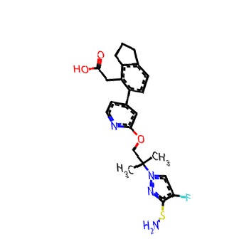 CC(C)(COc1cc(-c2ccc3c(c2CC(=O)O)CCC3)ccn1)n1cc(F)c(SN)n1